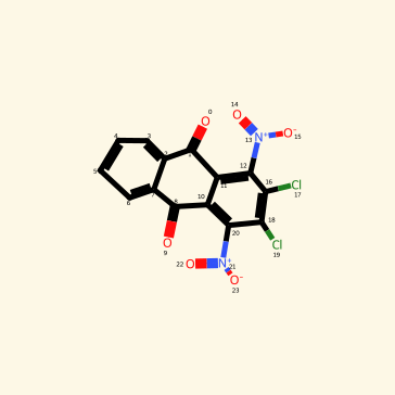 O=C1c2ccccc2C(=O)c2c1c([N+](=O)[O-])c(Cl)c(Cl)c2[N+](=O)[O-]